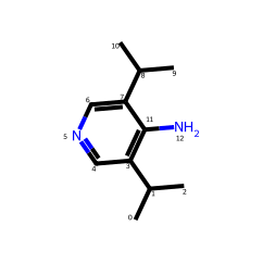 CC(C)c1cncc(C(C)C)c1N